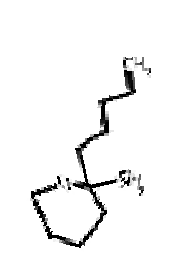 C=CCCCC1([SiH3])CCCCO1